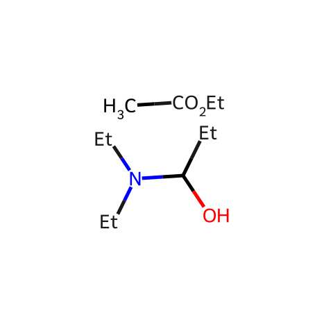 CCC(O)N(CC)CC.CCOC(C)=O